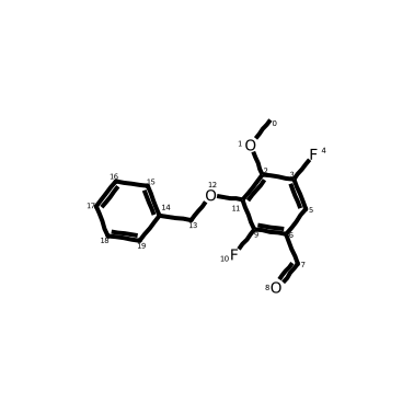 COc1c(F)cc(C=O)c(F)c1OCc1ccccc1